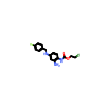 Nc1cc(NCc2ccc(F)cc2)ccc1NC(=O)OCCCl